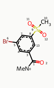 CNC(=O)c1cc(Br)cc(S(C)(=O)=O)c1